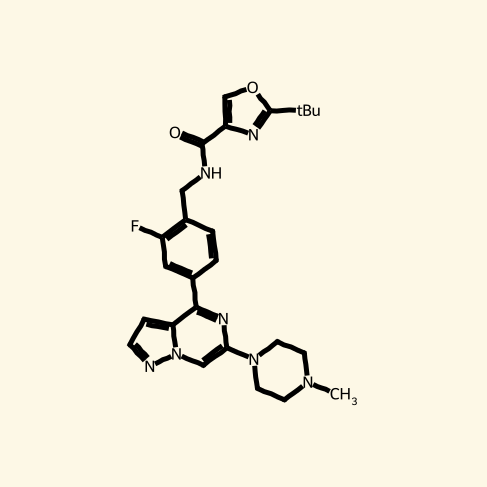 CN1CCN(c2cn3nccc3c(-c3ccc(CNC(=O)c4coc(C(C)(C)C)n4)c(F)c3)n2)CC1